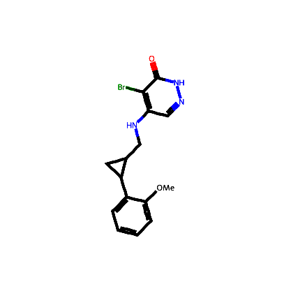 COc1ccccc1C1CC1CNc1cn[nH]c(=O)c1Br